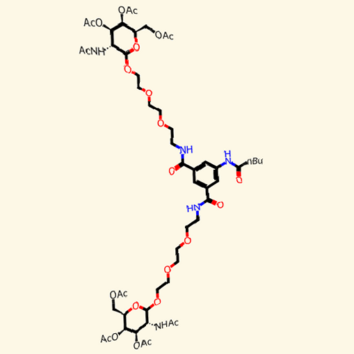 CCCCC(=O)Nc1cc(C(=O)NCCOCCOCCOC2O[C@H](COC(C)=O)[C@H](OC(C)=O)[C@H](OC(C)=O)[C@H]2NC(C)=O)cc(C(=O)NCCOCCOCCOC2O[C@H](COC(C)=O)[C@H](OC(C)=O)[C@H](OC(C)=O)[C@H]2NC(C)=O)c1